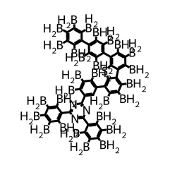 Bc1c(-c2nc(-c3c(B)c(B)c(B)c(B)c3B)nc(-c3c(B)c(B)c(B)c(B)c3B)n2)cc(-c2c(B)c(B)c(B)c3c2sc2c(-c4c(B)c(B)c(-c5c(B)c(B)c(B)c(B)c5B)c(B)c4B)c(B)c(B)c(B)c23)c(B)c1B